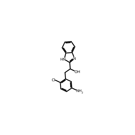 Nc1ccc(Cl)c(CC(O)c2nc3ccccc3[nH]2)c1